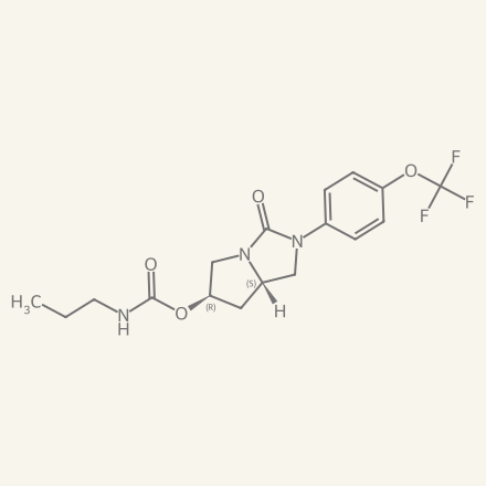 CCCNC(=O)O[C@@H]1C[C@H]2CN(c3ccc(OC(F)(F)F)cc3)C(=O)N2C1